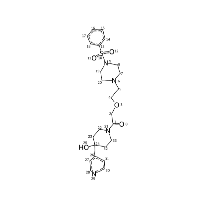 O=C(COCCN1CCN(S(=O)(=O)c2ccccc2)CC1)N1CCC(O)(c2ccncc2)CC1